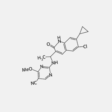 COc1nc(NC(C)c2cc3cc(Cl)c(C4CC4)cc3[nH]c2=O)ncc1C#N